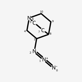 [N-]=[N+]=NC1CN2CCC1CC2